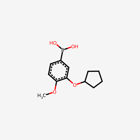 COc1ccc(B(O)O)cc1OC1CCCC1